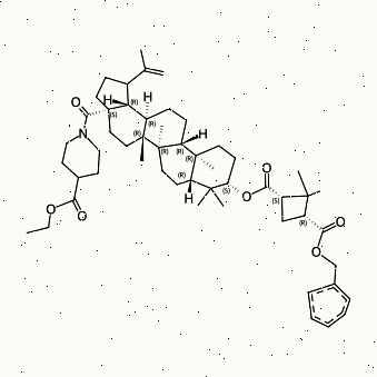 C=C(C)C1CC[C@]2(C(=O)N3CCC(C(=O)OCC)CC3)CC[C@]3(C)[C@H](CC[C@@H]4[C@@]5(C)CC[C@H](OC(=O)[C@H]6C[C@@H](C(=O)OCc7ccccc7)C6(C)C)C(C)(C)[C@@H]5CC[C@]43C)[C@@H]12